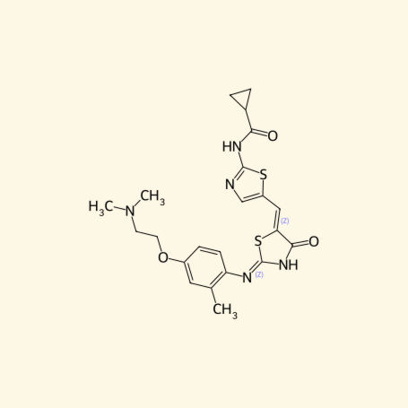 Cc1cc(OCCN(C)C)ccc1/N=C1/NC(=O)/C(=C/c2cnc(NC(=O)C3CC3)s2)S1